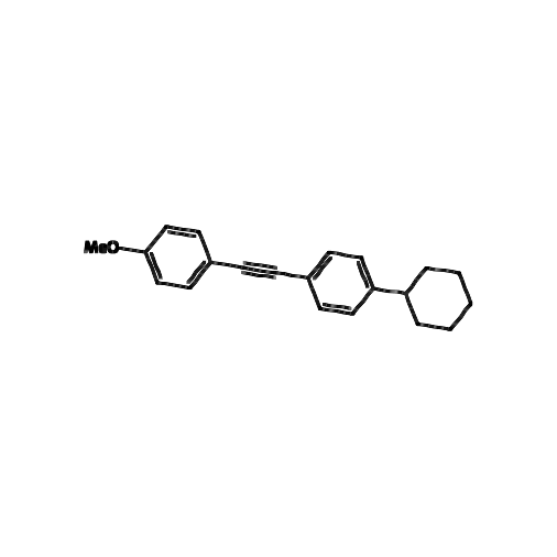 COc1ccc(C#Cc2ccc(C3CCCCC3)cc2)cc1